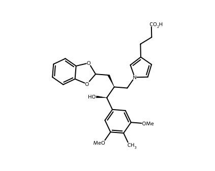 COc1cc([C@@H](O)[C@@H](CC2Oc3ccccc3O2)Cn2ccc(CCC(=O)O)c2)cc(OC)c1C